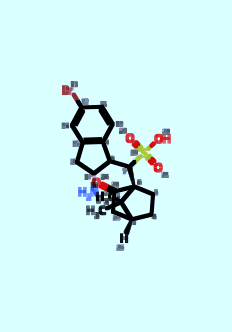 CC1(C)[C@@H]2CC[C@@]1(C(C1c3ccc(Br)cc3C[C@H]1N)S(=O)(=O)O)C(=O)C2